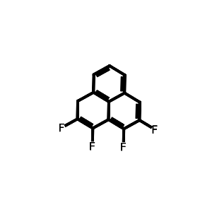 FC1=C(F)c2c(F)c(F)cc3cccc(c23)C1